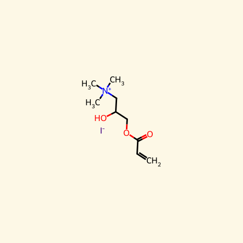 C=CC(=O)OCC(O)C[N+](C)(C)C.[I-]